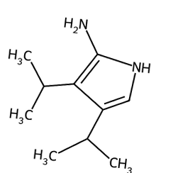 CC(C)c1c[nH]c(N)c1C(C)C